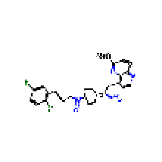 COc1ccc2nccc(C[C@@H](N)C3CCC(NCC=Cc4cc(F)ccc4F)CC3)c2n1